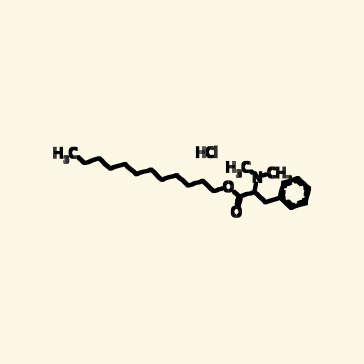 CCCCCCCCCCCCOC(=O)C(Cc1ccccc1)N(C)C.Cl